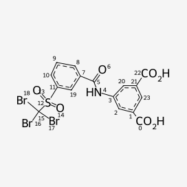 O=C(O)c1cc(NC(=O)c2cccc(S(=O)(=O)C(Br)(Br)Br)c2)cc(C(=O)O)c1